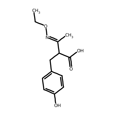 CCON=C(C)C(Cc1ccc(O)cc1)C(=O)O